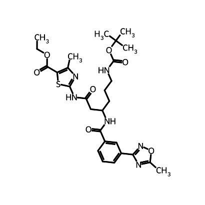 CCOC(=O)c1sc(NC(=O)CC(CCCNC(=O)OC(C)(C)C)NC(=O)c2cccc(-c3noc(C)n3)c2)nc1C